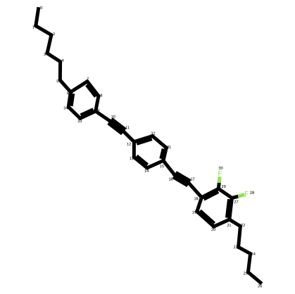 CCCCCCc1ccc(C#Cc2ccc(C#Cc3ccc(CCCCC)c(F)c3F)cc2)cc1